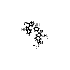 C=CC(=O)N1CCC(CN(C(=O)C=C)C2CCC(Nc3ncc(Cl)c(-c4c[nH]c5ccccc45)n3)CC2)CC1